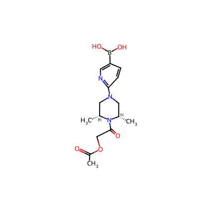 CC(=O)OCC(=O)N1[C@H](C)CN(c2ccc(B(O)O)cn2)C[C@@H]1C